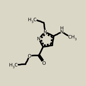 CCOC(=O)c1cc(NC)n(CC)n1